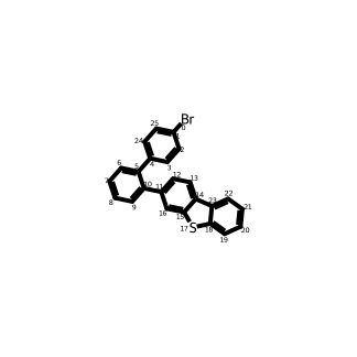 Brc1ccc(-c2ccccc2-c2ccc3c(c2)sc2ccccc23)cc1